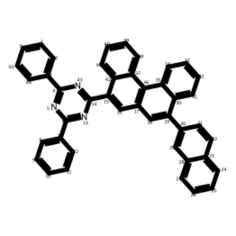 c1ccc(-c2nc(-c3ccccc3)nc(-c3cc4cc(-c5ccc6ccccc6c5)c5ccccc5c4c4ccccc34)n2)cc1